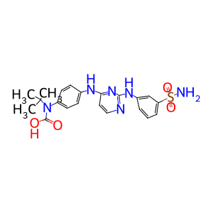 CC(C)(C)N(C(=O)O)c1ccc(Nc2ccnc(Nc3cccc(S(N)(=O)=O)c3)n2)cc1